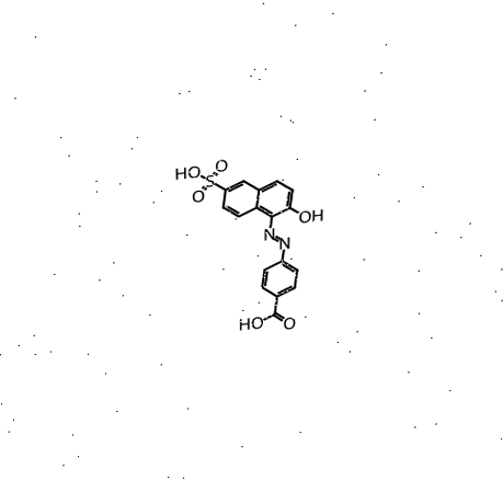 O=C(O)c1ccc(N=Nc2c(O)ccc3cc(S(=O)(=O)O)ccc23)cc1